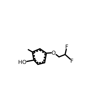 Cc1cc(OCC(F)F)ccc1O